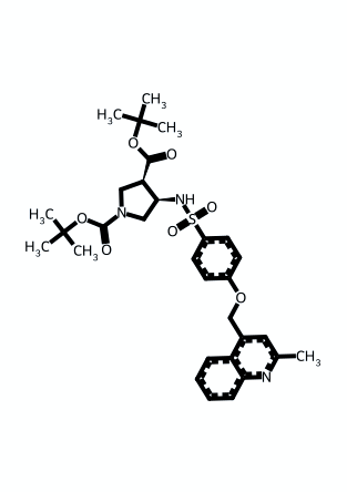 Cc1cc(COc2ccc(S(=O)(=O)N[C@H]3CN(C(=O)OC(C)(C)C)C[C@H]3C(=O)OC(C)(C)C)cc2)c2ccccc2n1